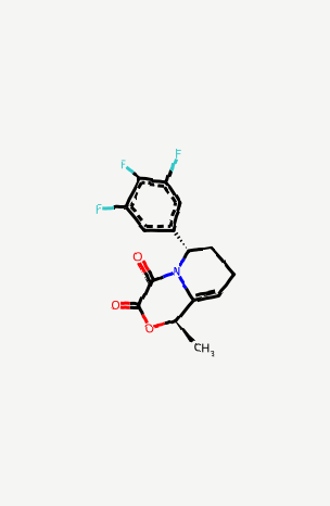 C[C@H]1OC(=O)C(=O)N2C1=CCC[C@H]2c1cc(F)c(F)c(F)c1